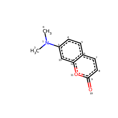 CN(C)c1ccc2ccc(=O)oc2c1